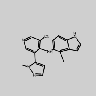 Cc1c(Nc2c(C#N)cncc2-c2ccnn2C)ccc2[nH]ccc12